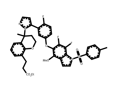 CCOC(=O)CCc1cccc2c1OCCC2(C)n1nccc1-c1cc(Oc2c(F)c(F)c3c(ccn3S(=O)(=O)c3ccc(C)cc3)c2SC)ccc1F